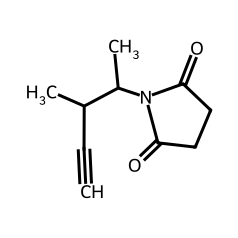 C#CC(C)C(C)N1C(=O)CCC1=O